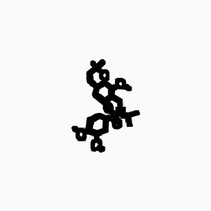 COC1=CCC(S(=O)(=O)N(CC2=C(OC)C3OC(C)(C)C=CC3C=C2)C(C)C)=CC1OC